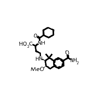 CO[C@H]1Cc2ccc(C(N)=O)cc2C(C)(C)[C@@H]1NCCC(NC(=O)C1CCCCC1)C(=O)O